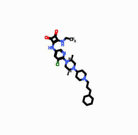 C[C@@H]1CN(c2ncc(Nc3c(NCC(F)(F)F)c(=O)c3=O)cc2Cl)[C@@H](C)CN1C1CCN(CCCC2CCCCC2)CC1